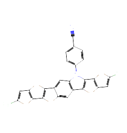 N#Cc1ccc(-n2c3cc4c(cc3c3sc5cc(Br)sc5c32)sc2c3sc(Br)cc3sc42)cc1